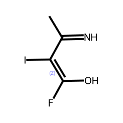 CC(=N)/C(I)=C(\O)F